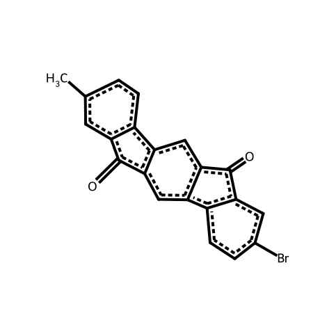 Cc1ccc2c(c1)c(=O)c1cc3c(cc12)c(=O)c1cc(Br)ccc13